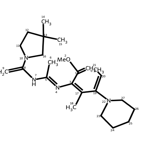 C=C(OC)C(/N=C(\C)NC(=C)N1CCC(C)(C)C1)=C(C)\C(=C/C)N1CCCCC1